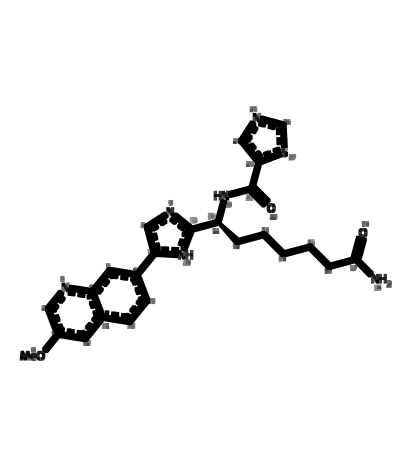 COc1cnc2cc(-c3cnc([C@H](CCCCCC(N)=O)NC(=O)c4cncs4)[nH]3)ccc2c1